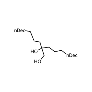 CCCCCCCCCCCCCC(O)(CO)CCCCCCCCCCCCC